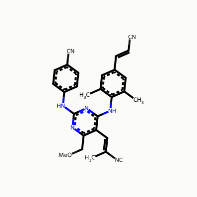 [C-]#[N+]/C(C)=C/c1c(COC)nc(Nc2ccc(C#N)cc2)nc1Nc1c(C)cc(/C=C/C#N)cc1C